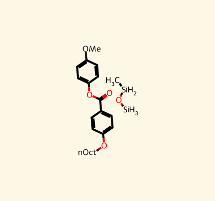 CCCCCCCCOc1ccc(C(=O)Oc2ccc(OC)cc2)cc1.C[SiH2]O[SiH3]